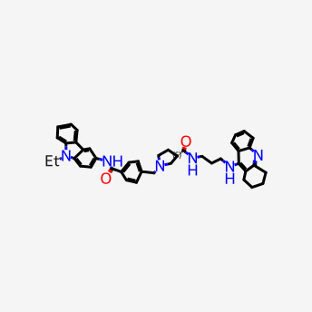 CCn1c2ccccc2c2cc(NC(=O)c3ccc(CN4CC[C@H](C(=O)NCCCNc5c6c(nc7ccccc57)CCCC6)C4)cc3)ccc21